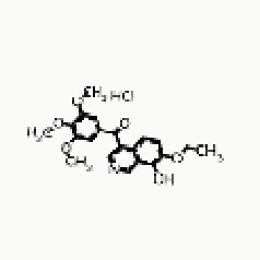 CCOc1ccc2c(C(=O)c3cc(OC)c(OC)c(OC)c3)cncc2c1O.Cl